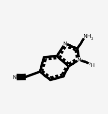 [2H]n1c(N)nc2cc(C#N)ccc21